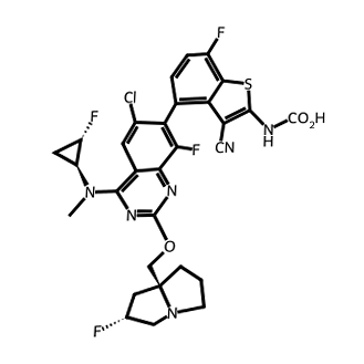 CN(c1nc(OC[C@@]23CCCN2C[C@H](F)C3)nc2c(F)c(-c3ccc(F)c4sc(NC(=O)O)c(C#N)c34)c(Cl)cc12)[C@H]1C[C@@H]1F